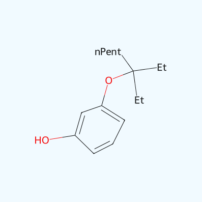 CCCCCC(CC)(CC)Oc1cccc(O)c1